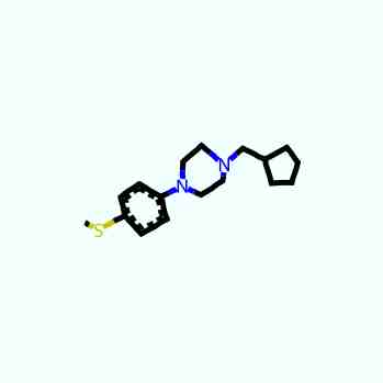 CSc1ccc(N2CCN(CC3CCCC3)CC2)cc1